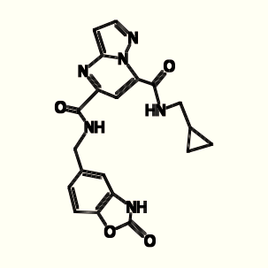 O=C(NCc1ccc2oc(=O)[nH]c2c1)c1cc(C(=O)NCC2CC2)n2nccc2n1